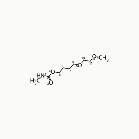 CNC(=O)OCCCCOCCOC